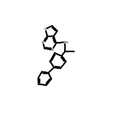 CC(Nc1ncnc2sccc12)c1ccc(-c2ccccc2)cc1